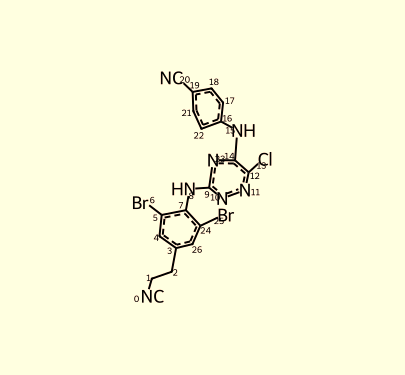 [C-]#[N+]CCc1cc(Br)c(Nc2nnc(Cl)c(Nc3ccc(C#N)cc3)n2)c(Br)c1